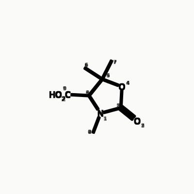 CN1C(=O)OC(C)(C)C1C(=O)O